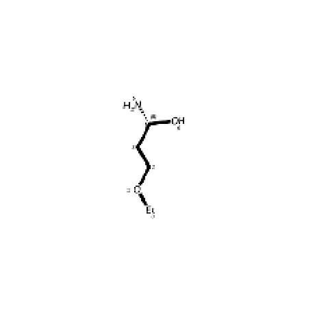 CCOCC[C@H](N)O